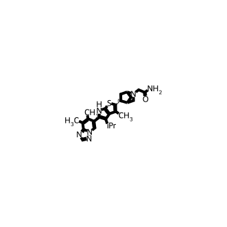 Cc1c(-c2[nH]c3sc([C@@H]4CC5CC4CN5CC(N)=O)c(C)c3c2C(C)C)cn2ncnc2c1C